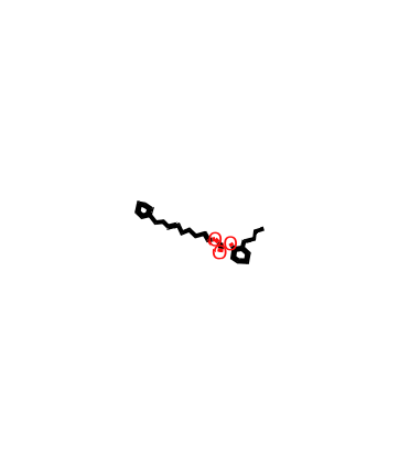 CCCCc1ccccc1OC(=O)OCCCCCCCCCc1ccccc1